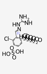 N=C(N)N/N=C/c1c(Cl)cccc1Cl.O.O.O.O.O.O=S(=O)(O)O